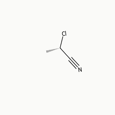 C[C@H](Cl)C#N